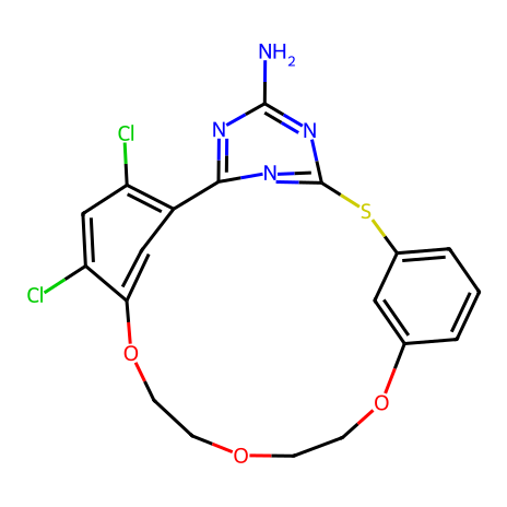 Nc1nc2nc(n1)-c1cc(c(Cl)cc1Cl)OCCOCCOc1cccc(c1)S2